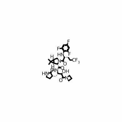 CC1(C)[C@@H]2[C@@H](C(=O)N[C@@H](C[C@@H]3CCNC3=O)C(O)C(=O)N3CCC3)N(C(=O)[C@@H](CCC(F)(F)F)Nc3c(F)cc(F)cc3F)C[C@@H]21